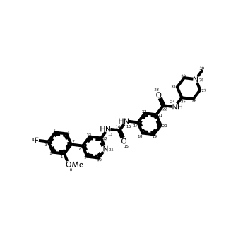 COc1cc(F)ccc1-c1ccnc(NC(=O)Nc2cccc(C(=O)NC3CCN(C)CC3)c2)c1